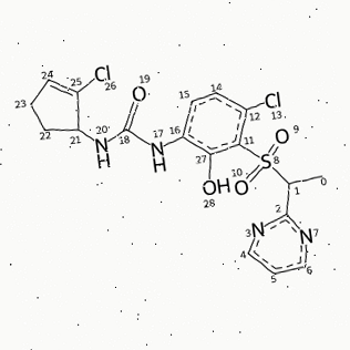 CC(c1ncccn1)S(=O)(=O)c1c(Cl)ccc(NC(=O)NC2CCC=C2Cl)c1O